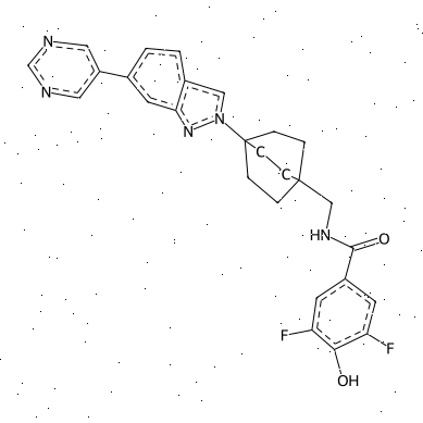 O=C(NCC12CCC(n3cc4ccc(-c5cncnc5)cc4n3)(CC1)CC2)c1cc(F)c(O)c(F)c1